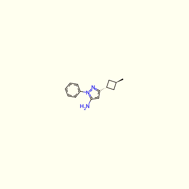 C[C@H]1C[C@H](c2cc(N)n(-c3ccccc3)n2)C1